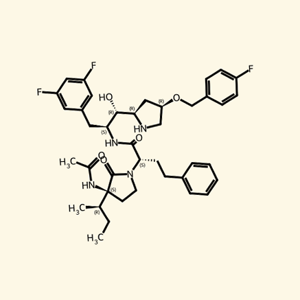 CC[C@@H](C)[C@@]1(NC(C)=O)CCN([C@@H](CCc2ccccc2)C(=O)N[C@@H](Cc2cc(F)cc(F)c2)[C@H](O)[C@H]2C[C@@H](OCc3ccc(F)cc3)CN2)C1=O